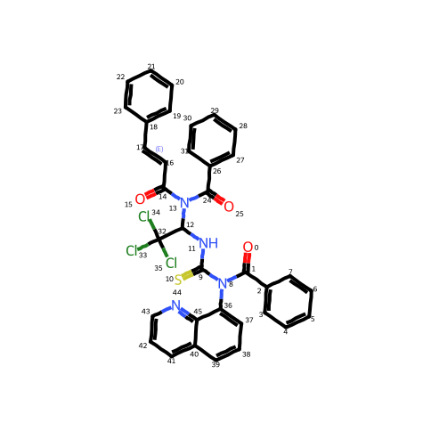 O=C(c1ccccc1)N(C(=S)NC(N(C(=O)/C=C/c1ccccc1)C(=O)c1ccccc1)C(Cl)(Cl)Cl)c1cccc2cccnc12